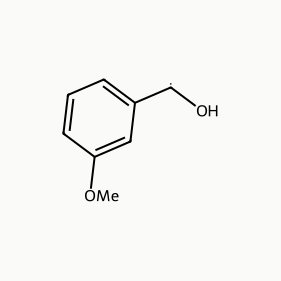 COc1cccc([CH]O)c1